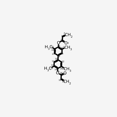 C=CC(=O)Oc1c(C)cc(-c2cc(C)c(OC(=O)C=C)c(C)c2)cc1C